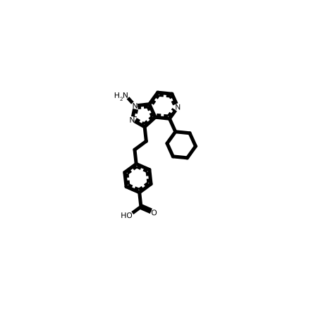 Nn1nc(CCc2ccc(C(=O)O)cc2)c2c(C3CCCCC3)nccc21